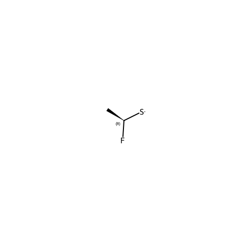 C[C@H](F)[S]